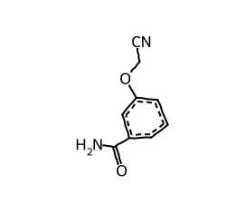 N#CCOc1cccc(C(N)=O)c1